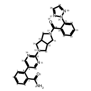 NC(=O)c1ccccc1-c1cnc(N2CC3CN(C(=O)c4ccccc4-n4nccn4)CC3C2)nc1